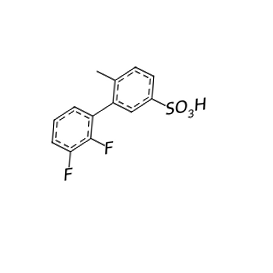 Cc1ccc(S(=O)(=O)O)cc1-c1cccc(F)c1F